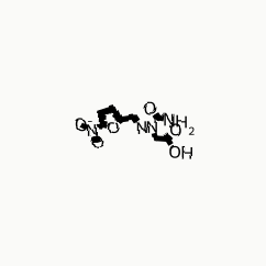 NC(=O)N(CC(=O)O)N=Cc1ccc([N+](=O)[O-])o1